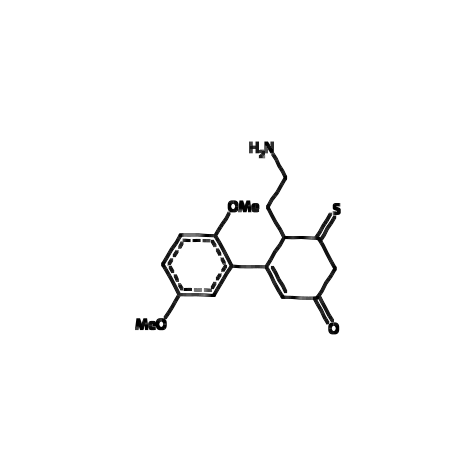 COc1ccc(OC)c(C2=CC(=O)CC(=S)C2CCN)c1